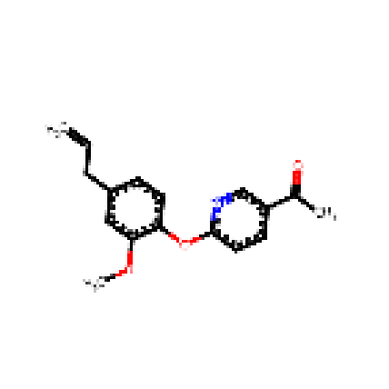 C=CCc1ccc(Oc2ccc(C(C)=O)cn2)c(OC)c1